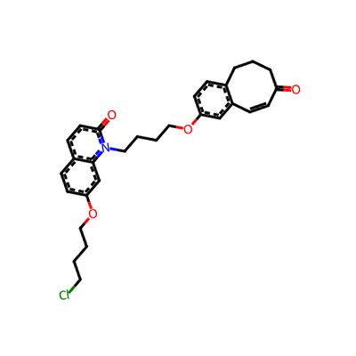 O=C1/C=C\c2cc(OCCCCn3c(=O)ccc4ccc(OCCCCCl)cc43)ccc2CCC1